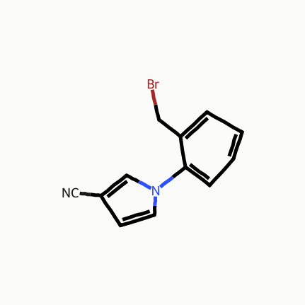 N#Cc1ccn(-c2ccccc2CBr)c1